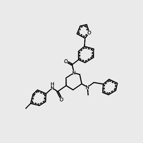 Cc1ccc(NC(=O)C2CC(N(C)Cc3ccccc3)CN(C(=O)c3cccc(-c4ccco4)c3)C2)cc1